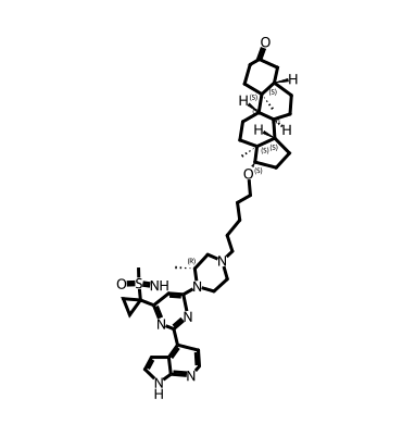 C[C@@H]1CN(CCCCCO[C@H]2CC[C@H]3[C@@H]4CC[C@H]5CC(=O)CC[C@]5(C)[C@H]4CC[C@]23C)CCN1c1cc(C2(S(C)(=N)=O)CC2)nc(-c2ccnc3[nH]ccc23)n1